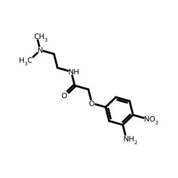 CN(C)CCNC(=O)COc1ccc([N+](=O)[O-])c(N)c1